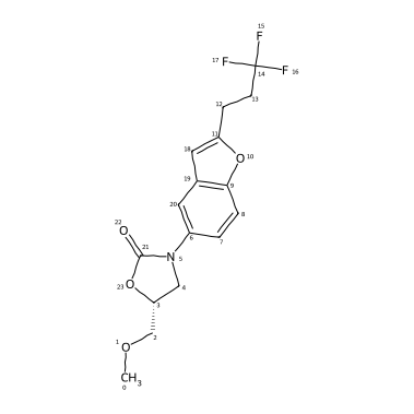 COC[C@H]1CN(c2ccc3oc(CCC(F)(F)F)cc3c2)C(=O)O1